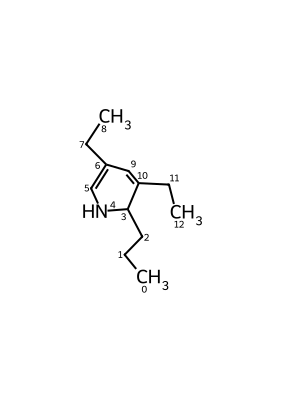 CCCC1NC=C(CC)C=C1CC